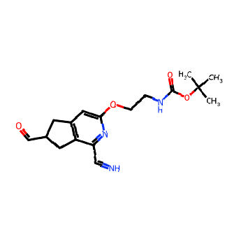 CC(C)(C)OC(=O)NCCOc1cc2c(c(C=N)n1)CC(C=O)C2